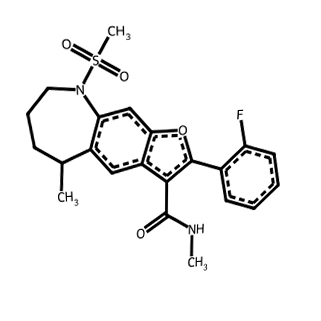 CNC(=O)c1c(-c2ccccc2F)oc2cc3c(cc12)C(C)CCCN3S(C)(=O)=O